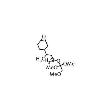 COCC(OC)(OC)O[SiH2]CC(C)C1CCC2OC2C1